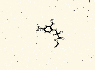 CCOC(=O)C(F)(F)Cc1ccc([N+](=O)[O-])cc1CF